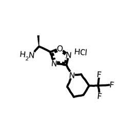 C[C@H](N)c1nc(N2CCCC(C(F)(F)F)C2)no1.Cl